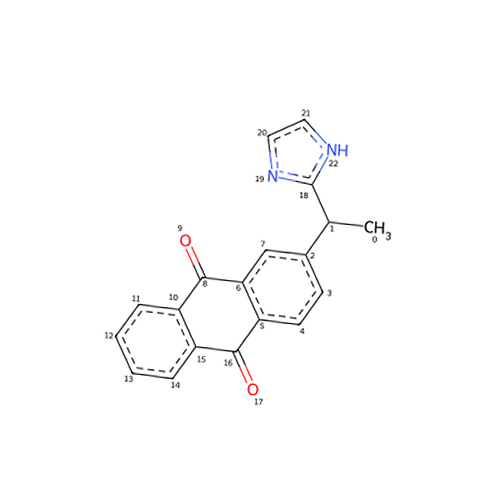 CC(c1ccc2c(c1)C(=O)c1ccccc1C2=O)c1ncc[nH]1